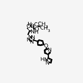 CC(C)(C)OC(=O)N[C@H](CO)Cn1nnc(-c2ccc(Oc3ccc(-c4ccn[nH]4)cn3)cc2)n1